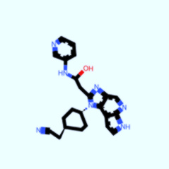 N#CC[C@H]1CC[C@H](n2c(CC(O)Nc3cccnc3)nc3cnc4[nH]ccc4c32)CC1